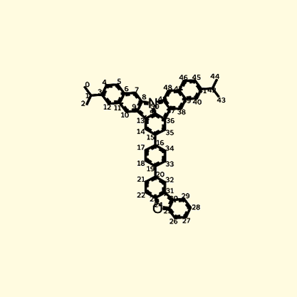 CC(C)c1ccc2cc3c(cc2c1)c1cc(-c2ccc(-c4ccc5oc6ccccc6c5c4)cc2)cc2c4cc5cc(C(C)C)ccc5cc4n3c12